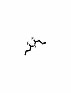 CCCC(F)SC(F)CCC